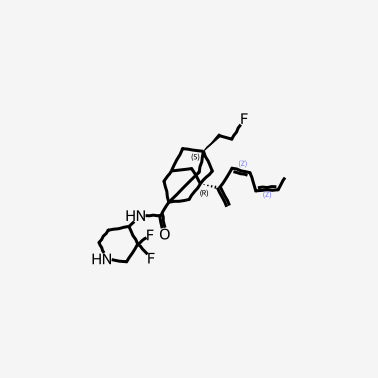 C=C(/C=C\C=C/C)[C@]12CC3CC(C(=O)NC4CCNCC4(F)F)(C[C@](CCF)(C3)C1)C2